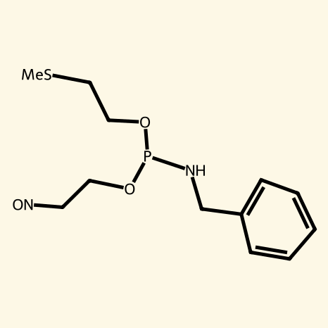 CSCCOP(NCc1ccccc1)OCCN=O